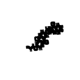 CCCOC1CCN(C(=O)c2cc(OCc3nc4cnccc4c(=O)[nH]3)ccc2Cl)CC1